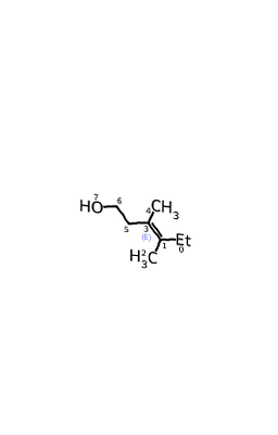 CC/C(C)=C(\C)CCO